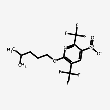 CC(C)CCCOc1nc(C(F)(F)F)c([N+](=O)[O-])cc1C(F)(F)F